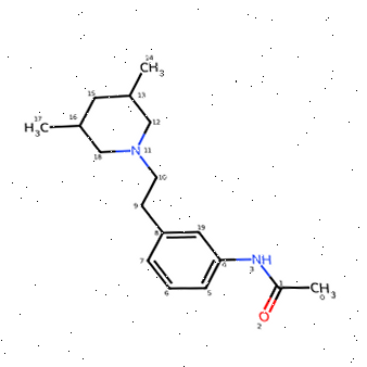 CC(=O)Nc1cccc(CCN2CC(C)CC(C)C2)c1